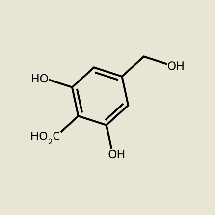 O=C(O)c1c(O)cc(CO)cc1O